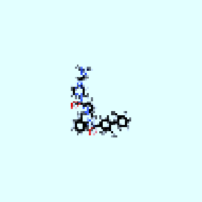 Cc1ccccc1-c1ccc(C(=O)N2Cc3ccc(C(=O)N4CCN(CCN(C)C)CC4)n3Cc3ccccc32)cc1C